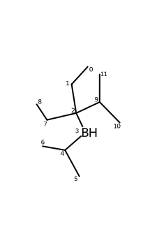 CCC(BC(C)C)(CC)C(C)C